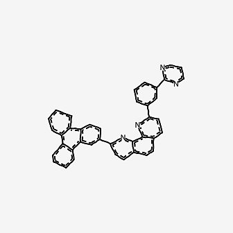 c1cnc(-c2cccc(-c3ccc4ccc5ccc(-c6ccc7c8ccccc8c8ccccc8c7c6)nc5c4n3)c2)nc1